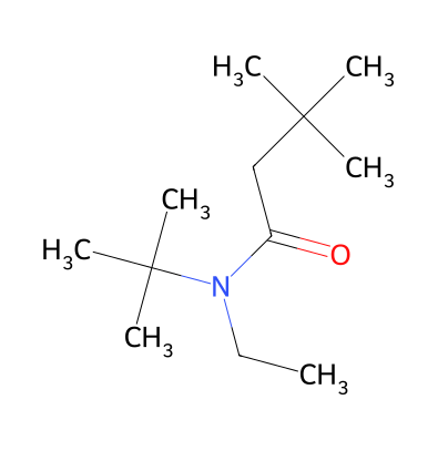 CCN(C(=O)CC(C)(C)C)C(C)(C)C